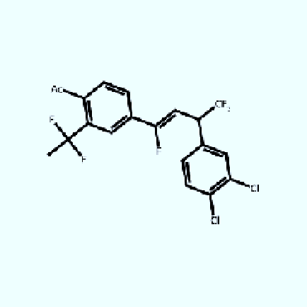 CC(=O)c1ccc(/C(F)=C/C(c2ccc(Cl)c(Cl)c2)C(F)(F)F)cc1C(C)(F)F